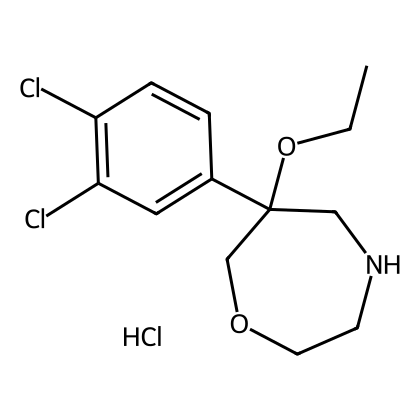 CCOC1(c2ccc(Cl)c(Cl)c2)CNCCOC1.Cl